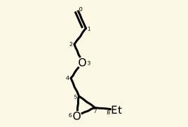 C=CCOCC1OC1CC